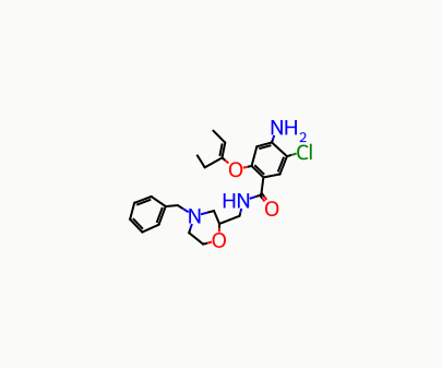 CC=C(CC)Oc1cc(N)c(Cl)cc1C(=O)NCC1CN(Cc2ccccc2)CCO1